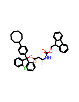 C[C@H](CC(=O)OC(c1ccccc1)(c1ccc(C2CCCCCCC2)cc1)c1ccccc1Cl)NC(=O)OCC1c2ccccc2-c2ccccc21